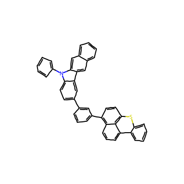 c1ccc(-n2c3ccc(-c4cccc(-c5ccc6c7c(cccc57)-c5ccccc5S6)c4)cc3c3cc4ccccc4cc32)cc1